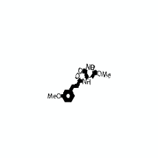 COC(=O)C[C@H](NC(=O)CCc1cccc(OC)c1)C(N)=O